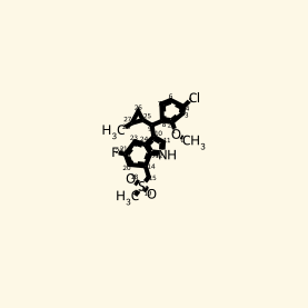 COc1cc(Cl)ccc1C(c1c[nH]c2c(CS(C)(=O)=O)cc(F)cc12)C1CC1C